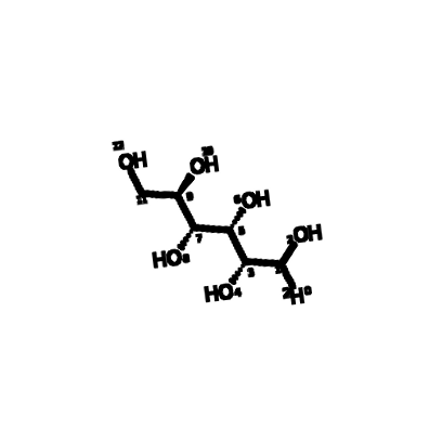 [2H]C(O)[C@H](O)[C@@H](O)[C@H](O)[C@H](O)CO